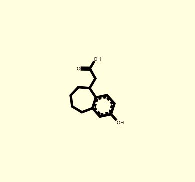 O=C(O)CC1CCCCc2cc(O)ccc21